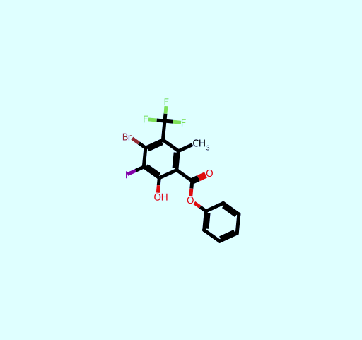 Cc1c(C(=O)Oc2ccccc2)c(O)c(I)c(Br)c1C(F)(F)F